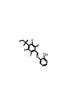 CCC(C)(C)c1c(F)c(F)c(C=Nc2ccccc2O)c(F)c1F